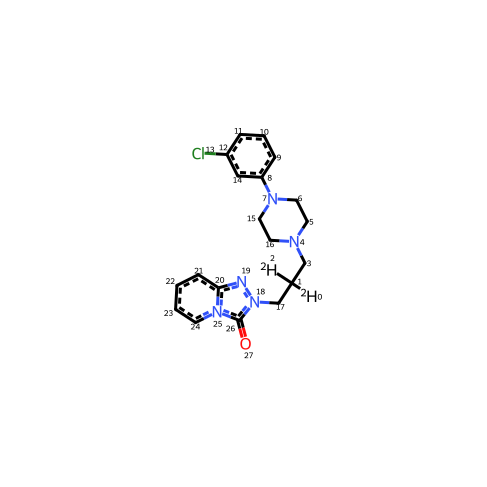 [2H]C([2H])(CN1CCN(c2cccc(Cl)c2)CC1)Cn1nc2ccccn2c1=O